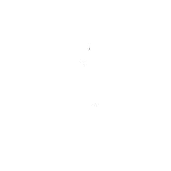 CC(C)Nc1ccc2c(c1)N(C(=O)OC(C)(C)C)CCO2